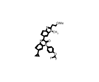 COCCc1nc2ccc(-c3nc4ccc(C5CC5)cc4n(-c4ccc(OC(F)F)cc4)c3=O)cc2n1C